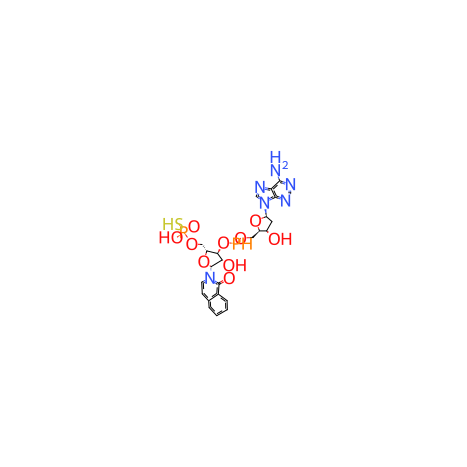 Nc1ncnc2c1ncn2[C@H]1C[C@@H](O)[C@@H](COPO[C@H]2C(O)[C@H](n3ccc4ccccc4c3=O)O[C@@H]2COP(=O)(O)S)O1